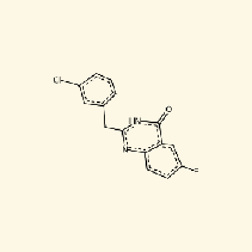 O=c1[nH]c(Cc2cccc(Cl)c2)nc2ccc(F)cc12